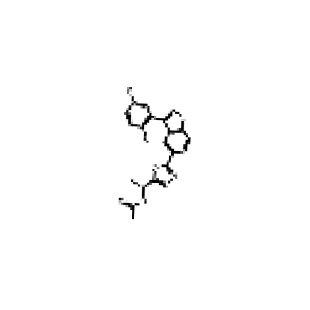 CC(=O)O[C@@H](C)c1nnc(-c2ccc3occ(-c4cc(F)ccc4Cl)c3c2)o1